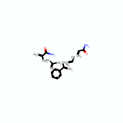 C=C(C)C#N.C=C(C)C(N)=O.C=C(C)c1ccccc1.C=CC#N.C=CC(N)=O